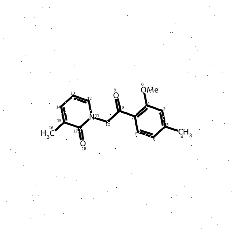 COc1cc(C)ccc1C(=O)Cn1cccc(C)c1=O